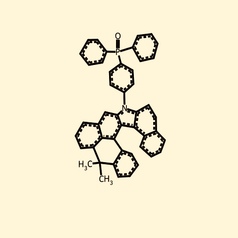 CC1(C)c2ccccc2-c2c3c1cccc3cc1c2c2c3ccccc3ccc2n1-c1ccc(P(=O)(c2ccccc2)c2ccccc2)cc1